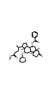 COC(=O)CCC(C)C1CCC2C3C(C[C@H](OC4CCCCO4)[C@]12C)[C@@]1(C)CCC(=O)C[C@H]1C[C@H]3OC(=O)c1ccccc1